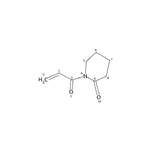 C=CC(=O)N1CCCCC1=O